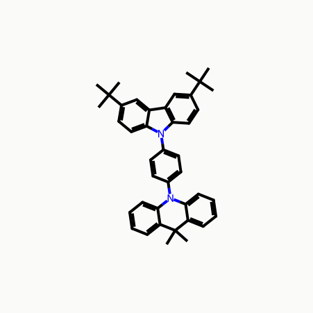 CC(C)(C)c1ccc2c(c1)c1cc(C(C)(C)C)ccc1n2-c1ccc(N2c3ccccc3C(C)(C)c3ccccc32)cc1